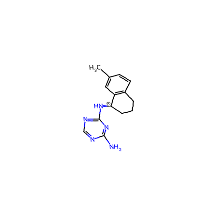 Cc1ccc2c(c1)[C@H](Nc1ncnc(N)n1)CCC2